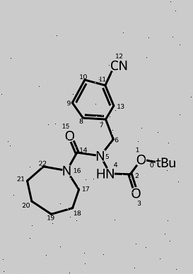 CC(C)(C)OC(=O)NN(Cc1cccc(C#N)c1)C(=O)N1CCCCCC1